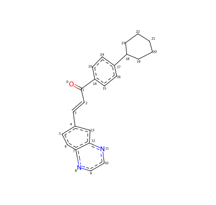 O=C(C=Cc1ccc2nccnc2c1)c1ccc(C2CCCCC2)cc1